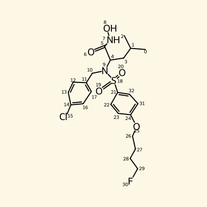 CC(C)CC(C(=O)NO)N(Cc1ccc(Cl)cc1)S(=O)(=O)c1ccc(OCCCCF)cc1